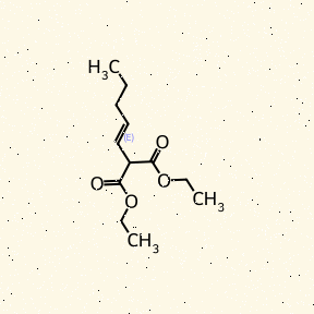 CCC/C=C/C(C(=O)OCC)C(=O)OCC